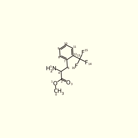 COC(=O)C(N)Cc1ccccc1C(F)(F)F